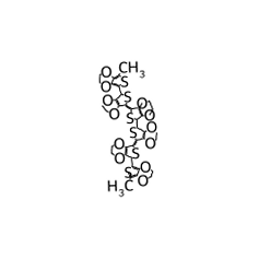 Cc1sc(C2S/C(=C3/SC(C4S/C(=C5/SC(c6sc(C)c7c6OCCO7)C6=C5OCCO6)C5=C4OCCO5)C4=C3OCCO4)C3=C2OCCO3)c2c1OCCO2